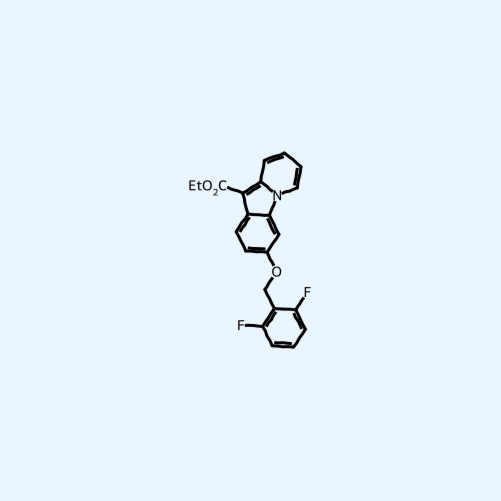 CCOC(=O)c1c2ccc(OCc3c(F)cccc3F)cc2n2ccccc12